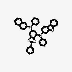 c1ccc(-c2nc3cc(N(c4ccccc4)c4ccc5ccccc5c4)cc(N(c4ccccc4)c4ccc5c(c4)oc4ccccc45)c3o2)cc1